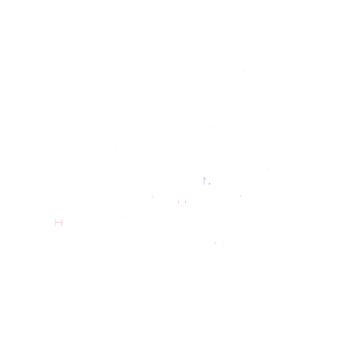 COCOc1cc(O)ccc1Cc1nccc2ccccc12